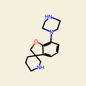 c1cc(N2CCNCC2)c2c(c1)C1(CCCNC1)CO2